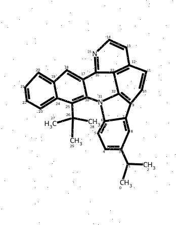 CC(C)c1ccc2c(c1)c1ccc3ccnc4c5cc6ccccc6c(C(C)(C)C)c5n2c1c34